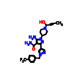 CC#CC(O)N1CCC(n2nc(-c3cnn(Cc4ccc(C(F)(F)F)cc4)c3)c(C(N)=O)c2N)CC1